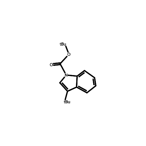 CC(C)(C)OC(=O)n1cc(C(C)(C)C)c2ccccc21